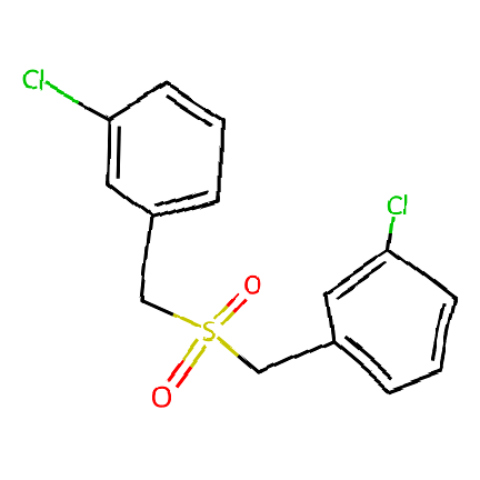 O=S(=O)(Cc1cccc(Cl)c1)Cc1cccc(Cl)c1